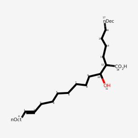 CCCCCCCC/C=C/CCCCCCCC(O)C(CCCCCCCCCCCCCC)C(=O)O